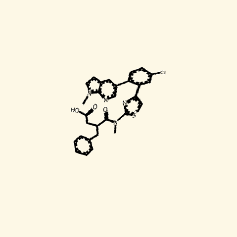 CN(C(=O)C(CC(=O)O)Cc1ccccc1)c1nc(-c2cc(Cl)ccc2-c2cnc3c(ccn3C)c2)cs1